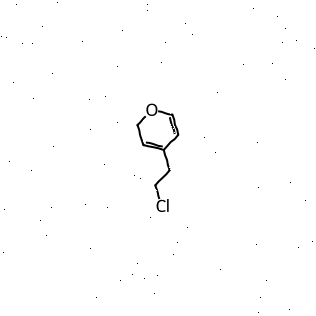 ClCCC1=CCOC=C1